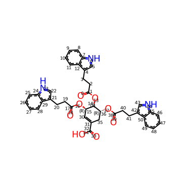 O=C(CCc1c[nH]c2ccccc12)O[C@@H]1[C@H](OC(=O)CCc2c[nH]c3ccccc23)C=C(C(=O)O)C[C@H]1OC(=O)CCc1c[nH]c2ccccc12